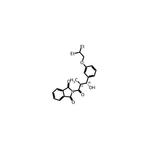 CCC(CC)COc1cccc([C@H](O)[C@H](C)C(=O)N2C(=O)c3ccccc3C2=O)c1